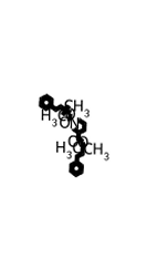 CC(C)(CCc1ccccc1)OC(=O)C1CCCN(C(=O)OC(C)(C)CCc2ccccc2)C1